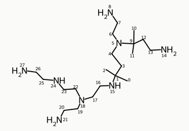 CC(C)(CCN(CCN)C(C)(C)CCN)NCCN(CCN)CCNCCN